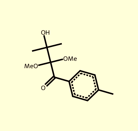 COC(OC)(C(=O)c1ccc(C)cc1)C(C)(C)O